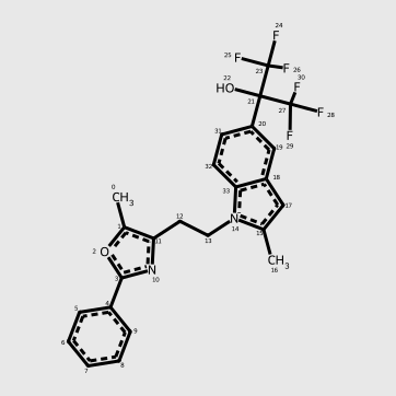 Cc1oc(-c2ccccc2)nc1CCn1c(C)cc2cc(C(O)(C(F)(F)F)C(F)(F)F)ccc21